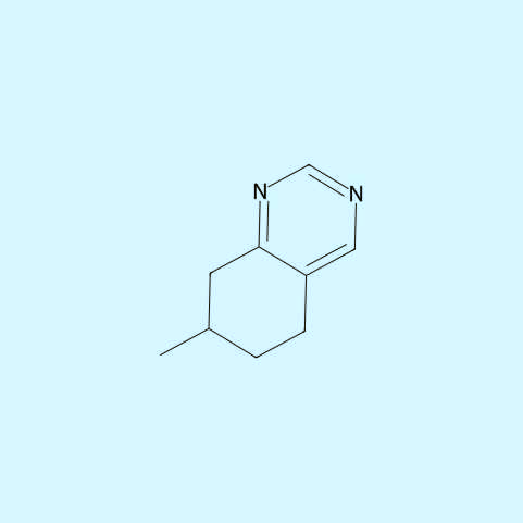 CC1CCc2cncnc2C1